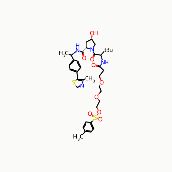 Cc1ccc(S(=O)(=O)OCCOCCOCCC(=O)NC(C(=O)N2C[C@H](O)C[C@H]2C(=O)NC(C)c2ccc(-c3scnc3C)cc2)C(C)(C)C)cc1